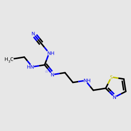 CCN/C(=N/CCNCc1nccs1)NC#N